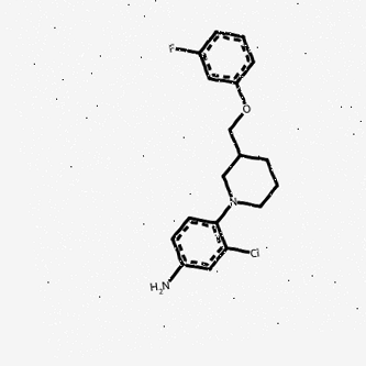 Nc1ccc(N2CCCC(COc3cccc(F)c3)C2)c(Cl)c1